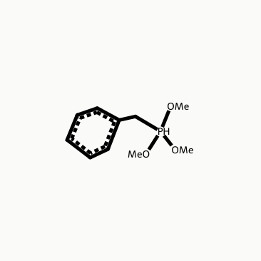 CO[PH](Cc1ccccc1)(OC)OC